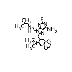 CC(C)CNCCn1c(Cc2cc3c(cc2N(C)C)OCCO3)nc2c(N)nc(F)nc21